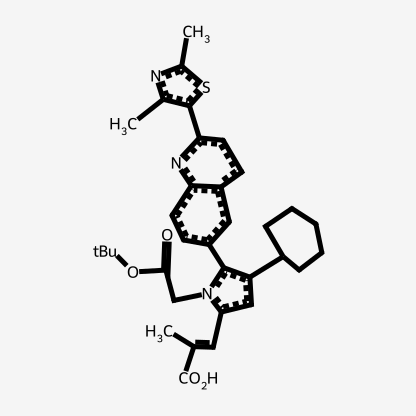 CC(=Cc1cc(C2CCCCC2)c(-c2ccc3nc(-c4sc(C)nc4C)ccc3c2)n1CC(=O)OC(C)(C)C)C(=O)O